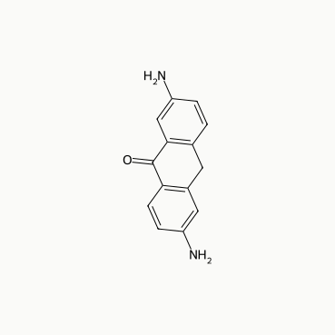 Nc1ccc2c(c1)Cc1ccc(N)cc1C2=O